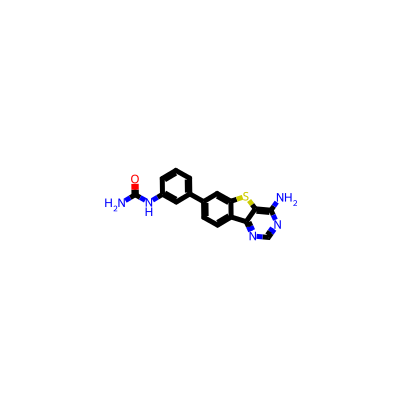 NC(=O)Nc1cccc(-c2ccc3c(c2)sc2c(N)ncnc23)c1